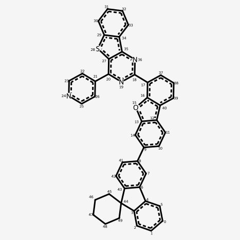 c1ccc2c(c1)-c1cc(-c3ccc4c(c3)oc3c(-c5nc(-c6ccncc6)c6sc7ccccc7c6n5)cccc34)ccc1C21CCCCC1